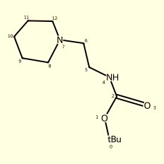 CC(C)(C)OC(=O)NCCN1CCCCC1